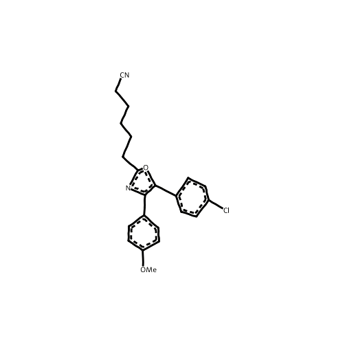 COc1ccc(-c2nc(CCCCCC#N)oc2-c2ccc(Cl)cc2)cc1